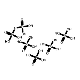 O=P(O)(O)O.O=P(O)(O)O.O=P(O)(O)O.O=P(O)(O)O.O=P(O)(O)OP(=O)(O)O